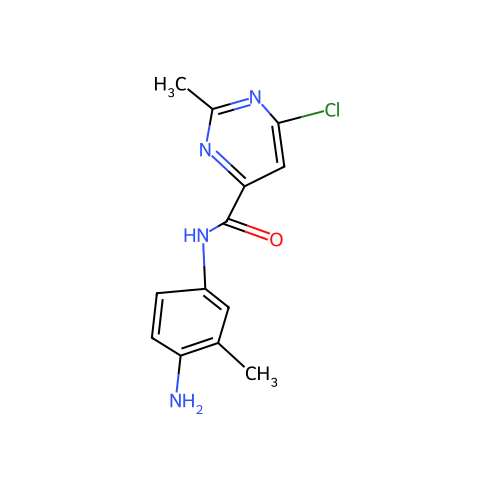 Cc1nc(Cl)cc(C(=O)Nc2ccc(N)c(C)c2)n1